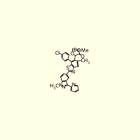 COC(=O)C(OC(C)(C)C)c1c(C)cc2nc(-c3ccc4c(c3)c(-c3ccccn3)nn4C)sc2c1-c1ccc(Cl)cc1